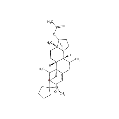 COC1(OC[C@@]23C(=CC(=O)CC2C)CC(C)[C@@H]2[C@H]3CC[C@]3(C)C(OC(C)=O)CC[C@@H]23)CCCC1